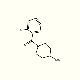 CC1CCN(C(=O)c2ccccc2F)CC1